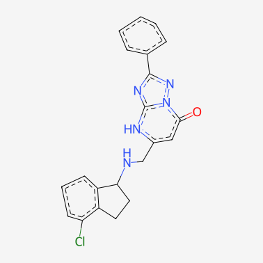 O=c1cc(CNC2CCc3c(Cl)cccc32)[nH]c2nc(-c3ccccc3)nn12